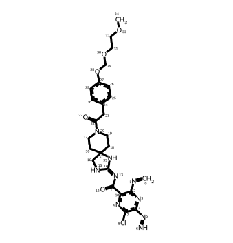 C=Nc1nc(N=N)c(Cl)nc1C(=O)/N=C1\NCC2(CCN(C(=O)Cc3ccc(OCOCCOC)cc3)CC2)N1